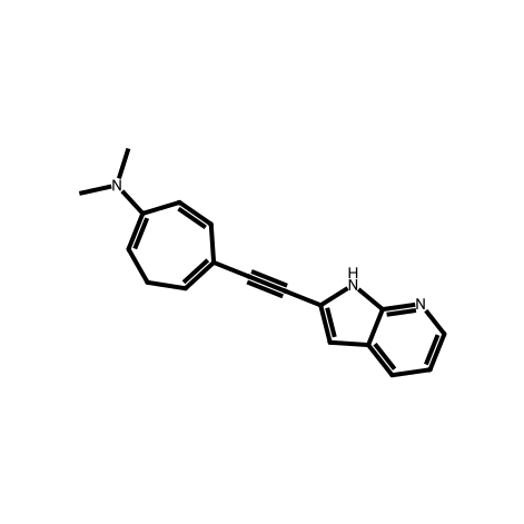 CN(C)C1=CCC=C(C#Cc2cc3cccnc3[nH]2)C=C1